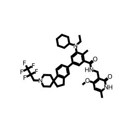 CCN(c1cc(-c2ccc3c(c2)CCC32CCN(CC(F)(F)C(F)(F)F)CC2)cc(C(=O)NCc2c(OC)cc(C)[nH]c2=O)c1C)C1CCCCC1